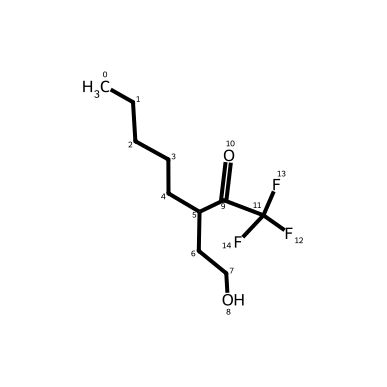 CCCCCC(CCO)C(=O)C(F)(F)F